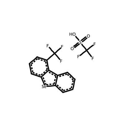 FC(F)(F)c1cccc2[se]c3ccccc3c12.O=S(=O)(O)C(F)(F)F